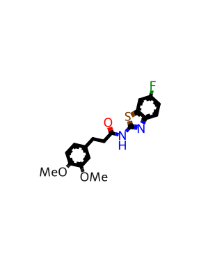 COc1ccc(CCC(=O)Nc2nc3ccc(F)cc3s2)cc1OC